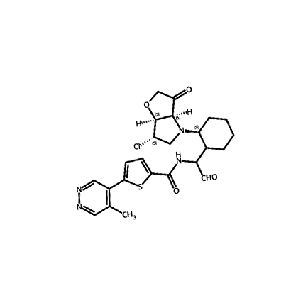 Cc1cnncc1-c1ccc(C(=O)NC(C=O)C2CCCC[C@@H]2N2C[C@H](Cl)[C@H]3OCC(=O)[C@H]32)s1